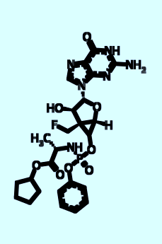 C[C@H](N[P@](=O)(Oc1ccccc1)OC1[C@H]2O[C@@H](n3cnc4c(=O)[nH]c(N)nc43)[C@H](O)[C@@]12CF)C(=O)OC1CCCC1